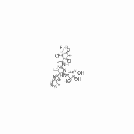 Cc1nc(N[C@@H](C)c2c(Cl)cc(OC(F)(F)F)cc2Cl)nc(N[C@@H]2C[C@H](CO)[C@@H](O)[C@H]2O)c1-c1nc2cnccc2s1